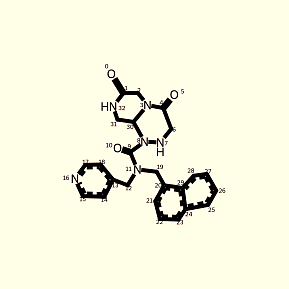 O=C1CN2C(=O)CNN(C(=O)N(Cc3ccncc3)Cc3cccc4ccccc34)C2CN1